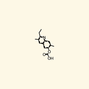 CCc1nc2cc(C)c(OC(=O)O)cc2cc1C